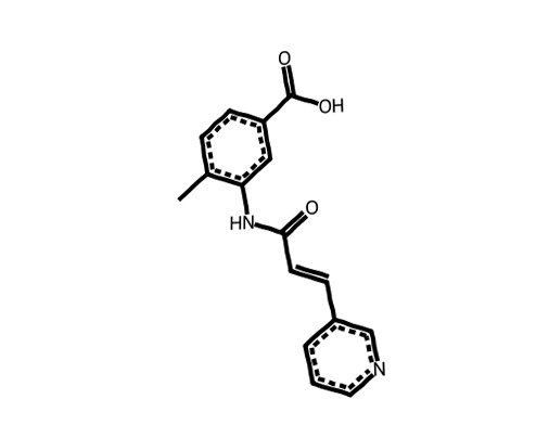 Cc1ccc(C(=O)O)cc1NC(=O)C=Cc1cccnc1